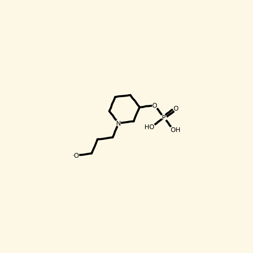 [O]CCCN1CCCC(OP(=O)(O)O)C1